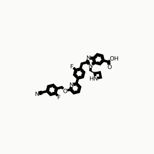 N#Cc1ccc(COc2cccc(-c3ccc(Cc4nc5ccc(C(=O)O)cc5n4C[C@H]4CCN4)c(F)c3)n2)c(F)c1